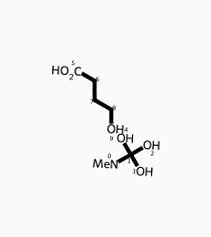 CNC(O)(O)O.O=C(O)CCCO